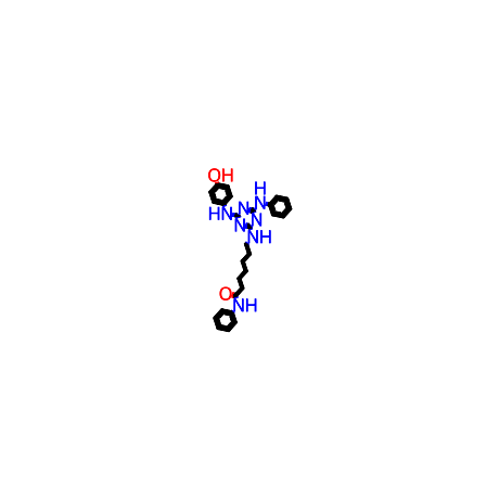 O=C(CCCCCCNc1nc(Nc2ccccc2)nc(Nc2ccc(O)cc2)n1)Nc1ccccc1